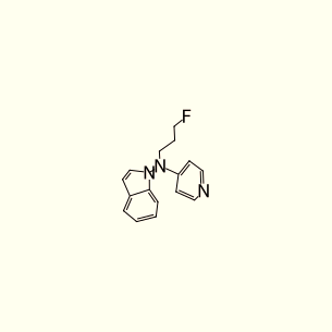 FCCCN(c1ccncc1)n1ccc2ccccc21